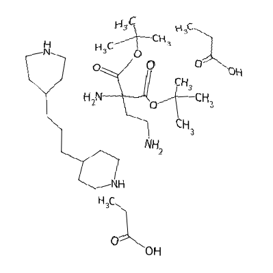 C(CC1CCNCC1)CC1CCNCC1.CC(C)(C)OC(=O)C(N)(CCN)C(=O)OC(C)(C)C.CCC(=O)O.CCC(=O)O